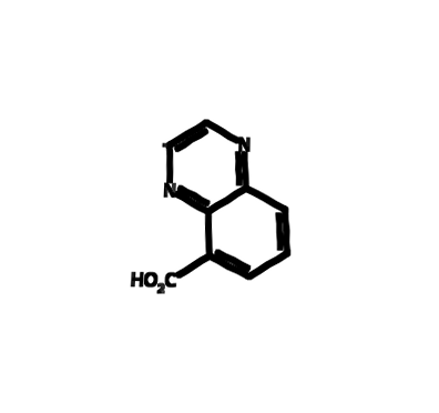 O=C(O)c1cccc2nc[c]nc12